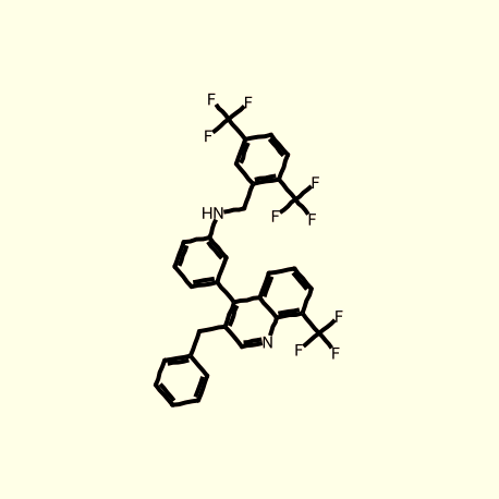 FC(F)(F)c1ccc(C(F)(F)F)c(CNc2cccc(-c3c(Cc4ccccc4)cnc4c(C(F)(F)F)cccc34)c2)c1